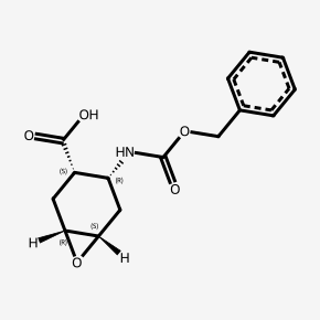 O=C(N[C@@H]1C[C@@H]2O[C@@H]2C[C@@H]1C(=O)O)OCc1ccccc1